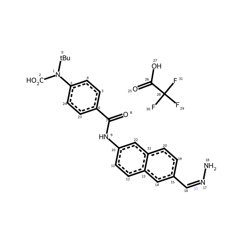 CC(C)(C)N(C(=O)O)c1ccc(C(=O)Nc2ccc3cc(/C=N\N)ccc3c2)cc1.O=C(O)C(F)(F)F